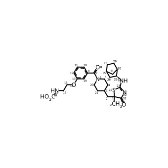 CC1(CC2CCN(C(=O)c3cccc(OCCNC(=O)O)c3)CC2)SC(N[C@H]2CC3CCC2C3)=NC1=O